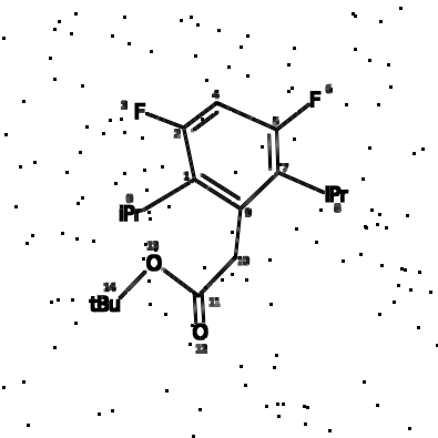 CC(C)c1c(F)cc(F)c(C(C)C)c1CC(=O)OC(C)(C)C